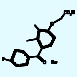 Cc1c(OCC(=O)O)ccc(C(=O)c2ccc(F)cc2)c1C.[Na]